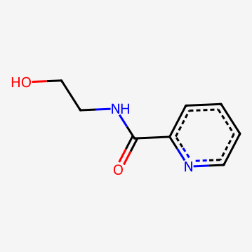 O=C(NCCO)c1ccccn1